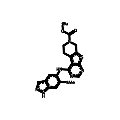 CSc1cc2[nH]ncc2cc1Nc1ncnc2sc3c(c12)CCN(C(=O)OC(C)(C)C)C3